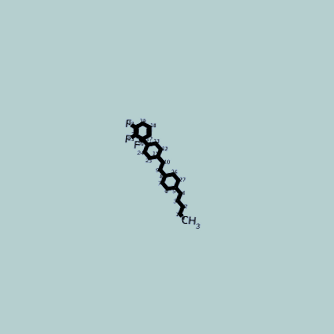 CCCCCC1CCC(CCC2CCC(C3(F)C=CCC(F)=C3F)CC2)CC1